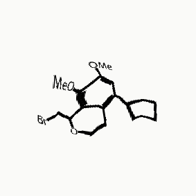 COc1cc(C2CCCC2)c2c(c1OC)C(CBr)OCC2